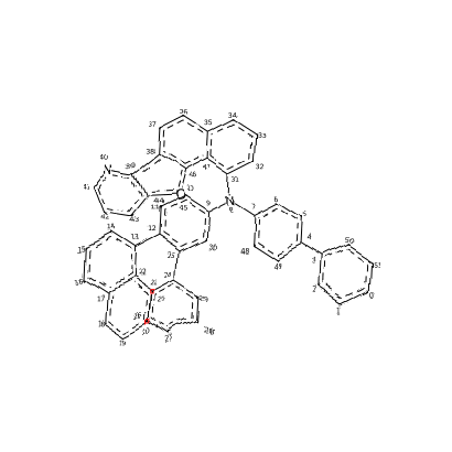 c1ccc(-c2ccc(N(c3ccc(-c4cccc5ccccc45)c(-c4ccccc4)c3)c3cccc4ccc5c6ncccc6oc5c34)cc2)cc1